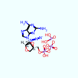 [N-]=[N+]=NC1[C@H]2OC[C@]1(COP(=O)(O)OP(=O)(O)OP(=O)(O)O)O[C@H]2n1cnc2c(N)nc(N)nc21